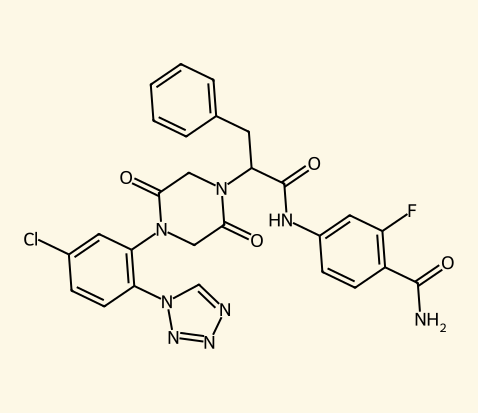 NC(=O)c1ccc(NC(=O)C(Cc2ccccc2)N2CC(=O)N(c3cc(Cl)ccc3-n3cnnn3)CC2=O)cc1F